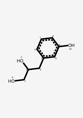 OCC(O)Cc1cccc(O)c1